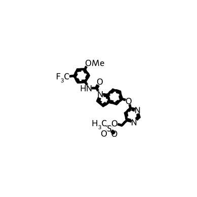 COc1cc(NC(=O)n2ccc3cc(Oc4cc(COS(C)(=O)=O)ncn4)ccc32)cc(C(F)(F)F)c1